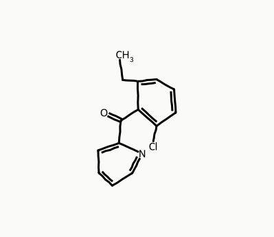 CCc1cccc(Cl)c1C(=O)c1ccccn1